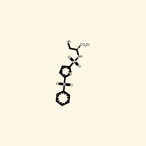 CCOC(=O)[C@H](CC(C)C)NS(=O)(=O)c1ccc(S(=O)(=O)c2ccccc2)s1